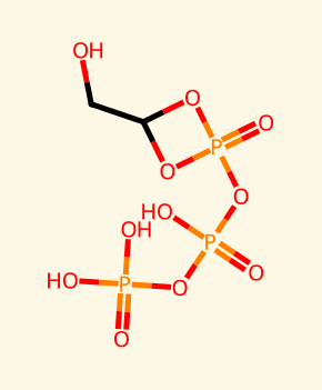 O=P(O)(O)OP(=O)(O)OP1(=O)OC(CO)O1